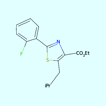 CCOC(=O)c1nc(-c2ccccc2F)sc1CC(C)C